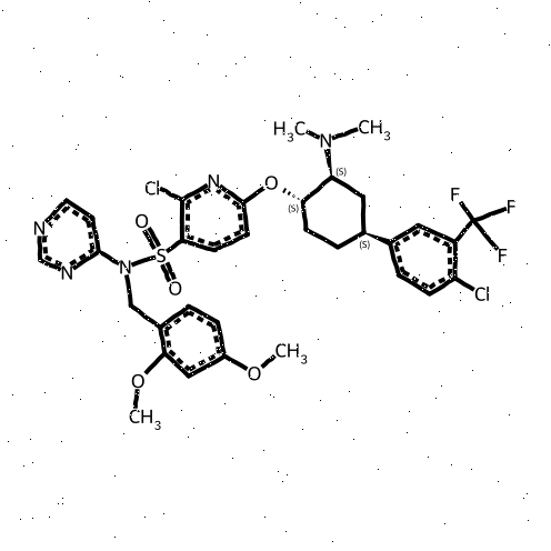 COc1ccc(CN(c2ccncn2)S(=O)(=O)c2ccc(O[C@H]3CC[C@H](c4ccc(Cl)c(C(F)(F)F)c4)C[C@@H]3N(C)C)nc2Cl)c(OC)c1